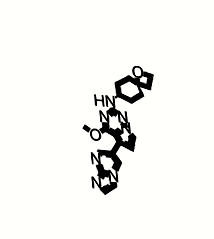 COc1nc(N[C@H]2CC[C@@]3(CCO3)CC2)nn2ccc(-c3cnc4nccn4c3)c12